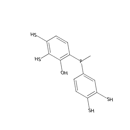 CP(c1ccc(S)c(S)c1)c1ccc(S)c(S)c1O